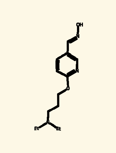 CCN(CC)CCCOc1ccc(/C=N/O)cn1